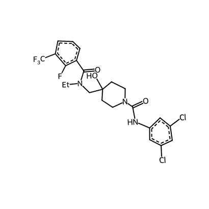 CCN(CC1(O)CCN(C(=O)Nc2cc(Cl)cc(Cl)c2)CC1)C(=O)c1cccc(C(F)(F)F)c1F